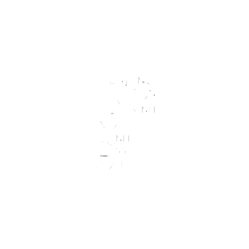 Nc1ncnc2[nH]cc(C(=O)c3cccc(NS(=O)(=O)c4ccccc4F)c3)c12